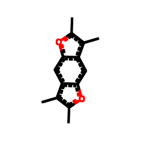 Cc1oc2cc3c(C)c(C)oc3cc2c1C